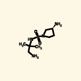 CC(C)(CN)NS(=O)(=O)N1CC[C@@H](N)C1